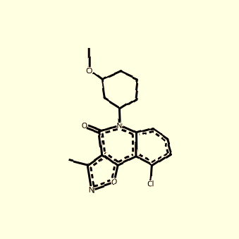 COC1CCCC(n2c(=O)c3c(C)noc3c3c(Cl)cccc32)C1